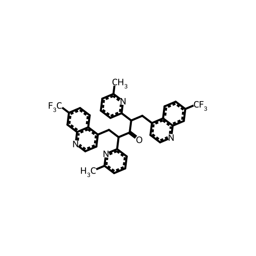 Cc1cccc(C(Cc2ccnc3cc(C(F)(F)F)ccc23)C(=O)C(Cc2ccnc3cc(C(F)(F)F)ccc23)c2cccc(C)n2)n1